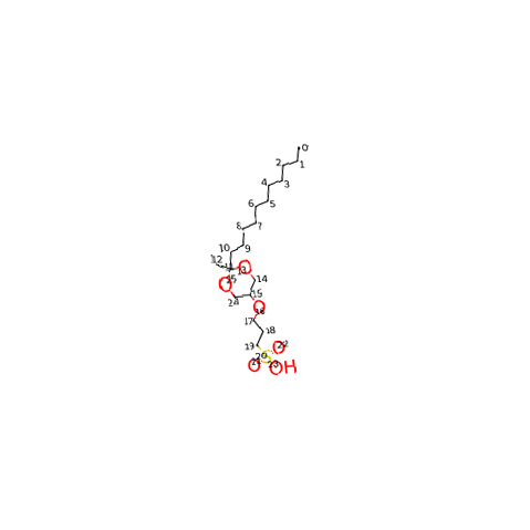 CCCCCCCCCCCC1(C)OCC(OCCCS(=O)(=O)O)CO1